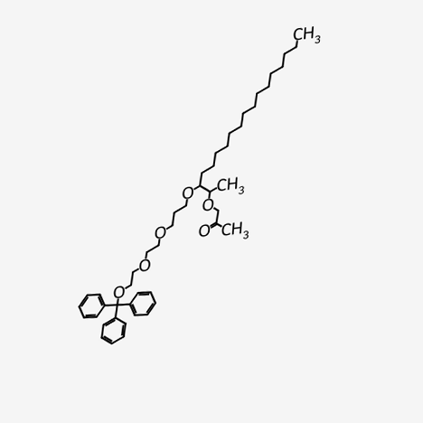 CCCCCCCCCCCCCCCC(OCCCOCCOCCOC(c1ccccc1)(c1ccccc1)c1ccccc1)C(C)OCC(C)=O